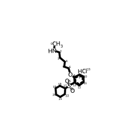 CNCCCCCOc1ccccc1S(=O)(=O)C1CCCCC1.Cl